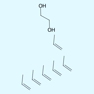 C=CC.C=CC.C=CC.C=CC.C=CC.C=CC.OCCO